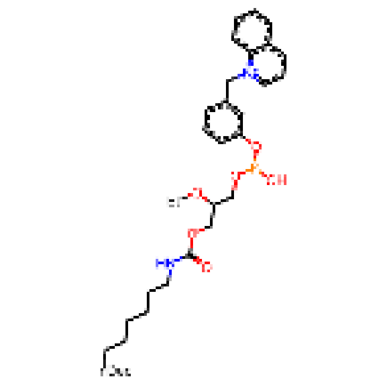 CCCCCCCCCCCCCCCCNC(=O)OCC(COP(O)Oc1cccc(C[n+]2cccc3ccccc32)c1)OCC